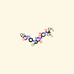 CC[C@H]1CN[C@H](c2ccc(-n3c(Cl)cc4c(=O)n(CC5(O)CCN(C(=O)[C@]6(C)C[C@H]6C)CC5)cnc43)cc2)CO1